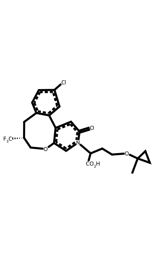 CC1(OCCC(C(=O)O)n2cc3c(cc2=O)-c2cc(Cl)ccc2C[C@@H](C(F)(F)F)CO3)CC1